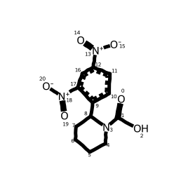 O=C(O)N1CCCCC1c1ccc([N+](=O)[O-])cc1[N+](=O)[O-]